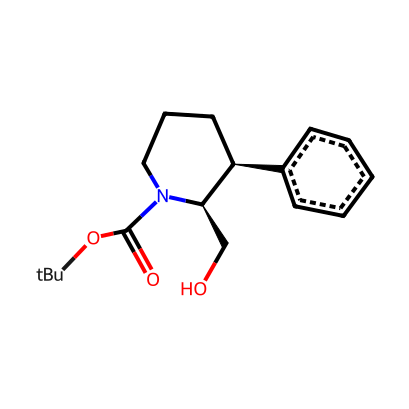 CC(C)(C)OC(=O)N1CCC[C@@H](c2ccccc2)[C@H]1CO